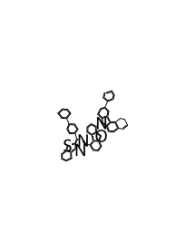 C1=Cc2ccc3c(c2CC1)c1cc(-c2ccccc2)ccc1n3-c1cccc2c1oc1cccc(-c3nc(-c4ccc(-c5ccccc5)cc4)c4sc5ccccc5c4n3)c12